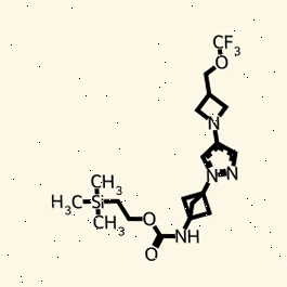 C[Si](C)(C)CCOC(=O)NC12CC(n3cc(N4CC(COC(F)(F)F)C4)cn3)(C1)C2